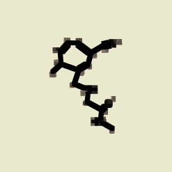 CNC(=O)CNCC1=CC(C#N)=CC=CC1C